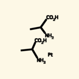 CC(N)C(=O)O.CC(N)C(=O)O.[Pt]